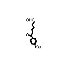 CC(C)(C)c1ccc(C(=O)CCCCCC=O)cc1